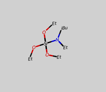 CCO[Si](OCC)(OCC)N(CC)C(C)CC